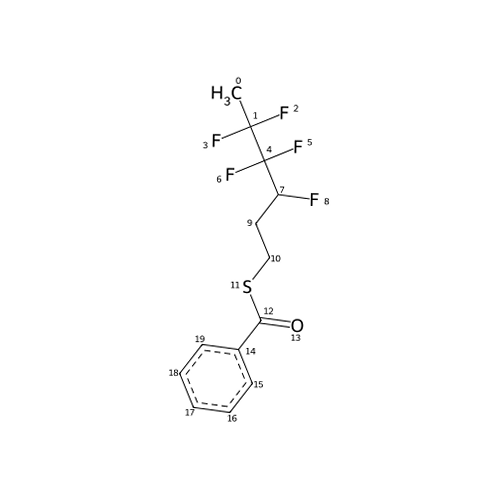 CC(F)(F)C(F)(F)C(F)CCSC(=O)c1ccccc1